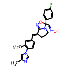 COc1cc(/C=C2\CCCN3C2=NO[C@]3(/C=N/O)c2ccc(F)cc2)ccc1-n1cnc(C)c1